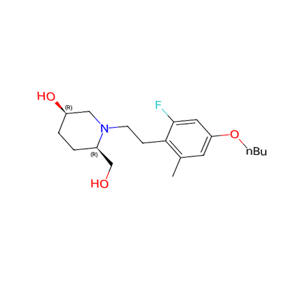 CCCCOc1cc(C)c(CCN2C[C@H](O)CC[C@@H]2CO)c(F)c1